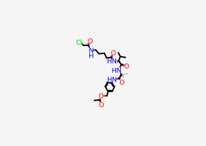 CC(=O)OCc1ccc(NC(=O)[C@@H](C)NC(=O)[C@H](NC(=O)CCCCNC(=O)CCl)C(C)C)cc1